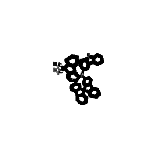 CC1(C)c2ccccc2-c2c(N(c3ccc4c(c3)C3(c5ccccc5-c5ccccc53)c3ccccc3-4)c3ccc4sc5ccccc5c4c3)cccc21